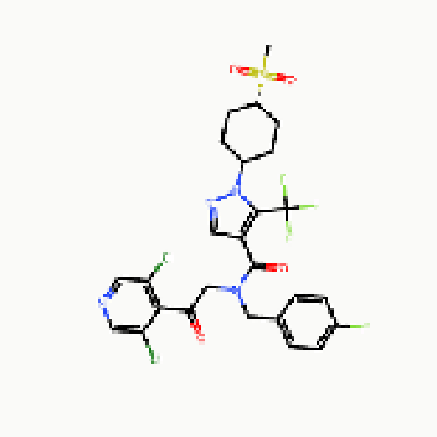 CS(=O)(=O)[C@H]1CC[C@H](n2ncc(C(=O)N(CC(=O)c3c(Cl)cncc3Cl)Cc3ccc(F)cc3)c2C(F)(F)F)CC1